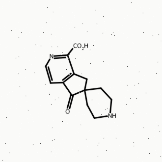 O=C(O)c1nccc2c1CC1(CCNCC1)C2=O